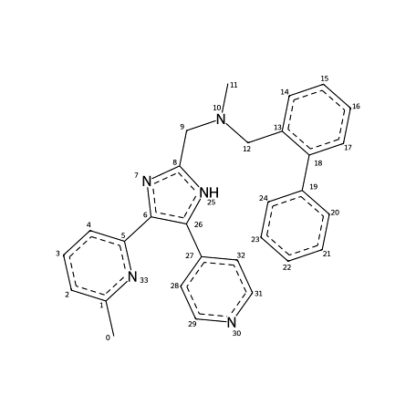 Cc1cccc(-c2nc(CN(C)Cc3ccccc3-c3ccccc3)[nH]c2-c2ccncc2)n1